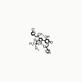 CN(Cc1ccc(Cl)s1)c1cc(-c2cn(CC(=O)c3cncs3)c(=O)cc2O)nn1C(=O)C(C)(C)C